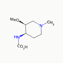 CO[C@H]1CN(C)CC[C@H]1NC(=O)O